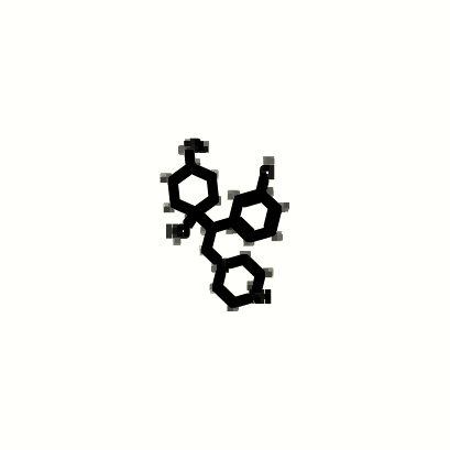 CC(C)(C)C1CCC(O)(C(CN2CCNCC2)c2cccc(Cl)c2)CC1